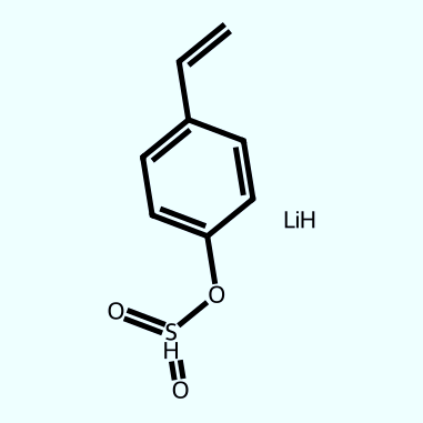 C=Cc1ccc(O[SH](=O)=O)cc1.[LiH]